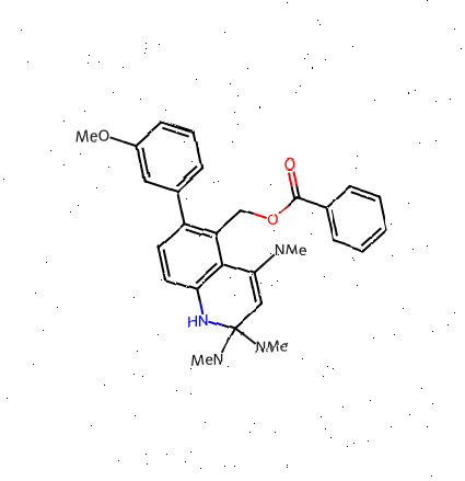 CNC1=CC(NC)(NC)Nc2ccc(-c3cccc(OC)c3)c(COC(=O)c3ccccc3)c21